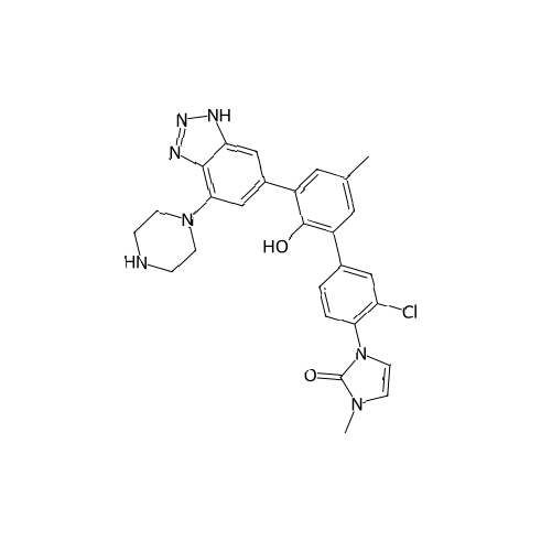 Cc1cc(-c2ccc(-n3ccn(C)c3=O)c(Cl)c2)c(O)c(-c2cc(N3CCNCC3)c3nn[nH]c3c2)c1